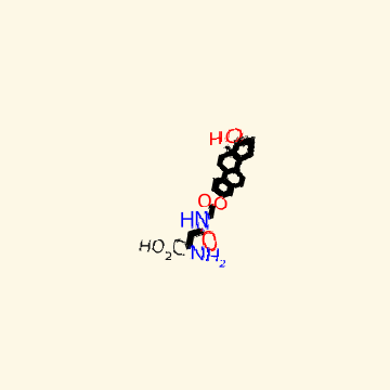 C[C@]12CCC3c4ccc(OC(=O)CNC(=O)CC(N)C(=O)O)cc4CCC3C1CC[C@@H]2O